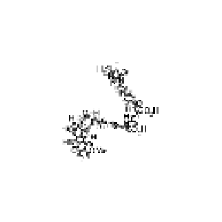 COc1cccc2c1C(=O)c1c(O)c3c(c(O)c1C2=O)C[C@@](O)(C(C)=O)CC3OC1CC(NC(=O)OCCSSCC(NC(=O)CCC(NC(=O)c2ccc(NCc3cnc4nc(N)[nH]c(=O)c4n3)cc2)C(=O)O)C(=O)O)CC(C)(O)O1